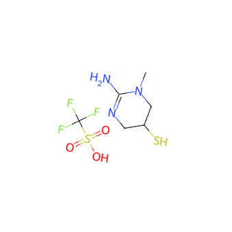 CN1CC(S)CN=C1N.O=S(=O)(O)C(F)(F)F